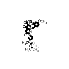 COc1ccc(Cn2cc(C(N)=O)c(=O)c3cc(F)c(N4CCC(N(C)C(=O)OC(C)(C)C)C4)nc32)c(OC)c1